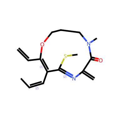 C=C/C1=C(\C=C/C)C(/SC)=N/C(=C)C(=O)N(C)CCCO1